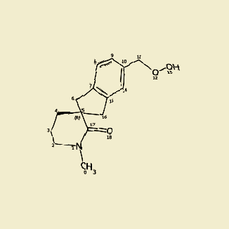 CN1CCC[C@]2(Cc3ccc(COO)cc3C2)C1=O